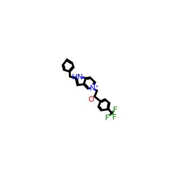 O=C(C[n+]1ccc2[nH]c(Cc3ccccc3)cc2c1)c1ccc(C(F)(F)F)cc1